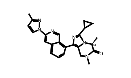 Cc1ccn(-c2cc3cccc(-c4nc(C5CC5)n5c4CN(C)C(=O)[C@@H]5C)c3cn2)n1